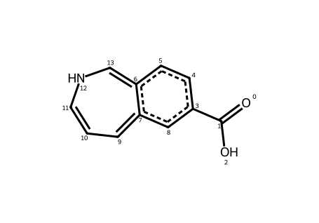 O=C(O)c1ccc2c(c1)=CC=CNC=2